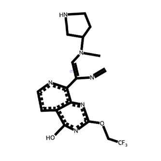 C=N/C(=C\N(C)C1CCNC1)c1nccc2c(O)nc(OCC(F)(F)F)nc12